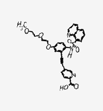 COCCOCCOc1ccc(NS(=O)(=O)c2cccc3cccnc23)c(C#Cc2ccc(C(=O)O)nc2)c1